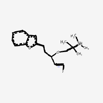 C[SiH](C)C(C)(C)COC(/C=C/I)CCc1cc2ccccc2o1